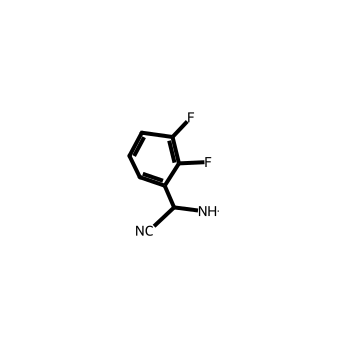 N#CC([NH])c1cccc(F)c1F